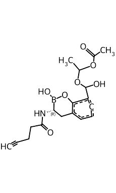 C#CCCC(=O)N[C@H]1Cc2cccc(C(O)OC(C)OC(C)=O)c2OB1O